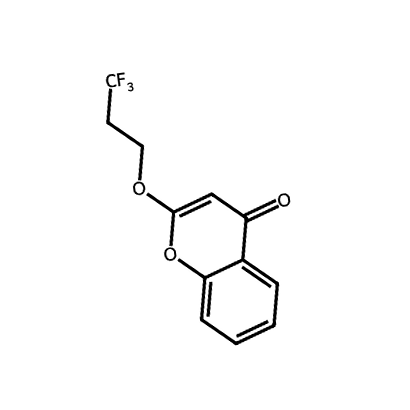 O=c1cc(OCCC(F)(F)F)oc2ccccc12